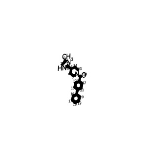 Cc1c[nH]c(C2CCN(C(=O)c3ccc(-c4ccccc4)cc3)CC2)n1